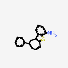 Nc1cccc2c3c(sc12)C=CC=C(c1ccccc1)C3